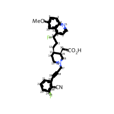 COc1ccc2nccc([C@@H](F)CC[C@@H]3CCN(CC#Cc4cccc(F)c4C#N)C[C@@H]3CC(=O)O)c2c1